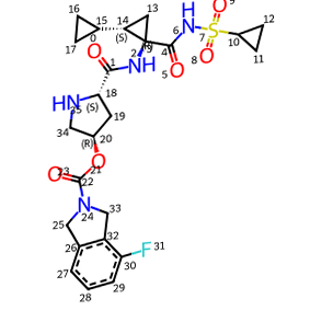 O=C(N[C@]1(C(=O)NS(=O)(=O)C2CC2)C[C@H]1C1CC1)[C@@H]1C[C@@H](OC(=O)N2Cc3cccc(F)c3C2)CN1